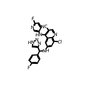 N#Cc1cnc2c(Cl)cc(NC(c3ccc(F)cc3)c3c[nH]nn3)cc2c1Nc1ccc(F)nc1